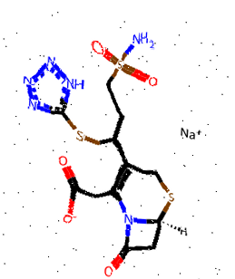 NS(=O)(=O)CCC(Sc1nnn[nH]1)C1=C(C(=O)[O-])N2C(=O)C[C@@H]2SC1.[Na+]